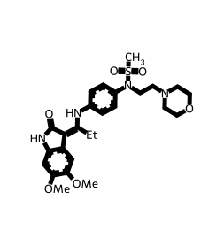 CC/C(Nc1ccc(N(CCN2CCOCC2)S(C)(=O)=O)cc1)=C1/C(=O)Nc2cc(OC)c(OC)cc21